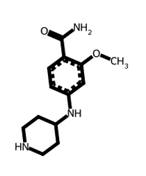 COc1cc(NC2CCNCC2)ccc1C(N)=O